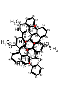 COc1cc(C(=O)N[C@H](C)c2ccccc2)cc(OC)c1-c1cccc2cccc(-c3ccc(-c4cccc5cccc(-c6c(OC)cc(C(=O)N[C@H](C)c7ccccc7)cc6OC)c45)c(N)c3N)c12